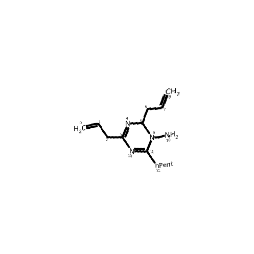 C=CCC1=NC(CC=C)N(N)C(CCCCC)=N1